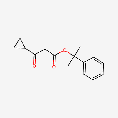 CC(C)(OC(=O)CC(=O)C1CC1)c1ccccc1